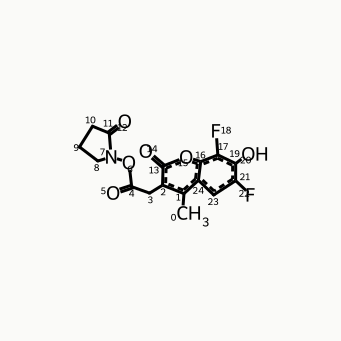 Cc1c(CC(=O)ON2CCCC2=O)c(=O)oc2c(F)c(O)c(F)cc12